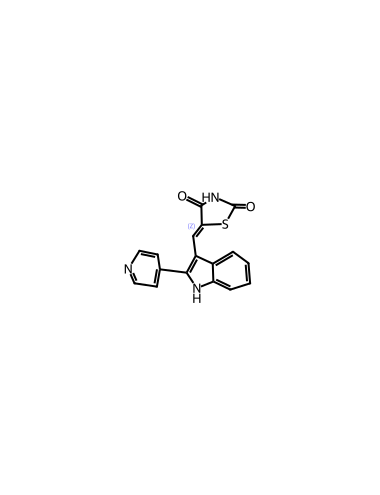 O=C1NC(=O)/C(=C/c2c(-c3ccncc3)[nH]c3ccccc23)S1